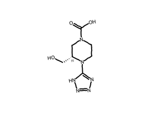 O=C(O)N1CCN(c2nnn[nH]2)[C@H](CO)C1